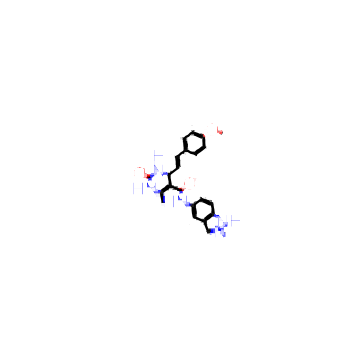 COc1ccc(C=CC2NC(=O)NC(C)=C2C(=O)Nc2ccc3[nH]ncc3c2)cc1